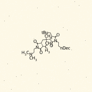 CCCCCCCCCCCCN1C(=O)C(CC(C)(C)C)C(C(C)(C)CC2C(=O)N(CCN(C)C)C(=O)C2C)C1=O